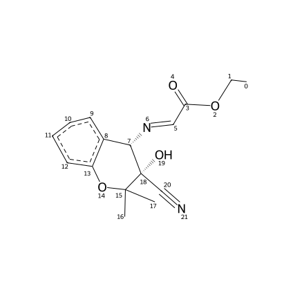 CCOC(=O)C=N[C@H]1c2ccccc2OC(C)(C)[C@]1(O)C#N